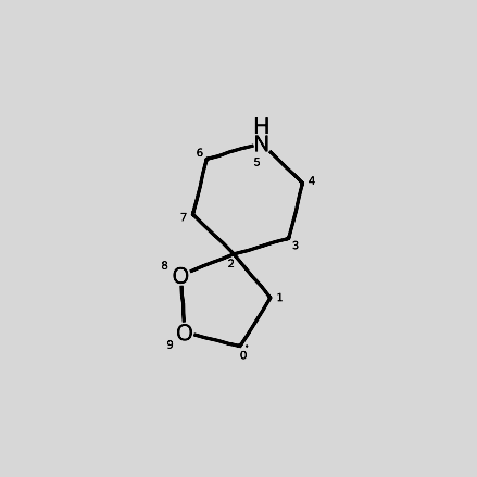 [CH]1CC2(CCNCC2)OO1